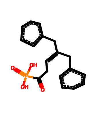 O=C(CC=C(Cc1ccccc1)Cc1ccccc1)P(=O)(O)O